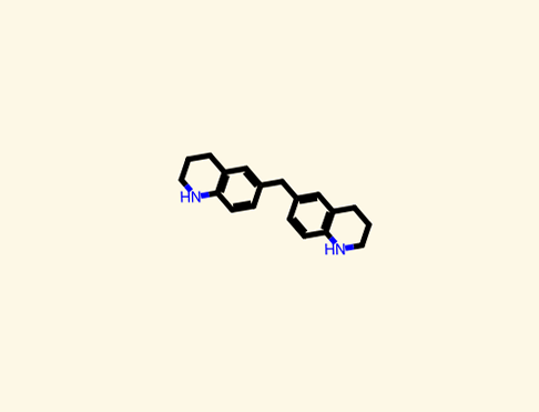 c1cc2c(cc1Cc1ccc3c(c1)CCCN3)CCCN2